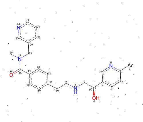 CC(=O)c1ccc([C@@H](O)CNCCc2ccc(C(=O)N(C)Cc3cccnc3)cc2)cn1